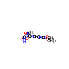 Cn1c(=O)n(C2CCC(=O)NC2=O)c2ccc(N3CCC(C4CCN(C5CCN(C(=O)OC(C)(C)C)CC5)CC4)CC3)cc21